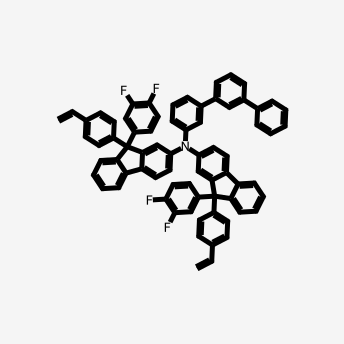 C=Cc1ccc(C2(c3ccc(F)c(F)c3)c3ccccc3-c3ccc(N(c4cccc(-c5cccc(-c6ccccc6)c5)c4)c4ccc5c(c4)C(c4ccc(C=C)cc4)(c4ccc(F)c(F)c4)c4ccccc4-5)cc32)cc1